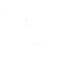 B[SiH2]C#N